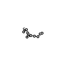 c1ccc(N(c2ccc(-c3ccc(-c4cccc(-c5ccc6ccccc6c5)c4)cc3)cc2)c2ccc(-c3cccc4sc5ccccc5c34)cc2)cc1